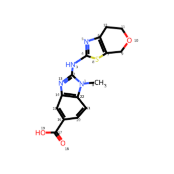 Cn1c(Nc2nc3c(s2)COCC3)nc2cc(C(=O)O)ccc21